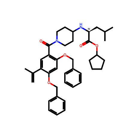 C=C(C)c1cc(C(=O)N2CCC(N[C@@H](CC(C)C)C(=O)OC3CCCC3)CC2)c(OCc2ccccc2)cc1OCc1ccccc1